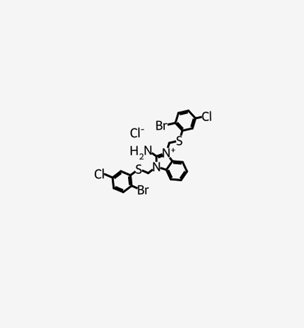 Nc1n(CSc2cc(Cl)ccc2Br)c2ccccc2[n+]1CSc1cc(Cl)ccc1Br.[Cl-]